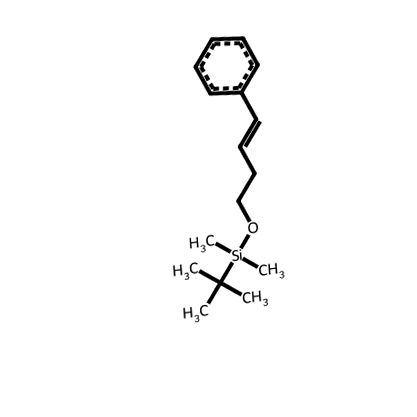 CC(C)(C)[Si](C)(C)OCCC=Cc1ccccc1